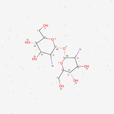 OCC1O[C@H](O[C@H]2OC(CO)[C@@H](O)C(O)C2I)C(I)C(O)[C@@H]1O